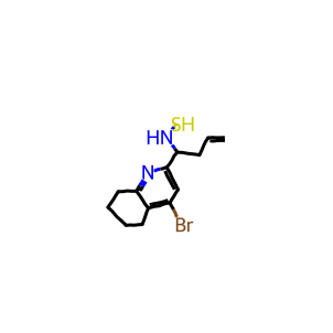 C=CCC(NS)c1cc(Br)c2c(n1)CCCC2